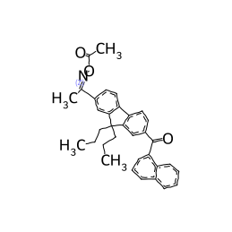 CCCC1(CCC)c2cc(C(=O)c3cccc4ccccc34)ccc2-c2ccc(/C(C)=N\OC(C)=O)cc21